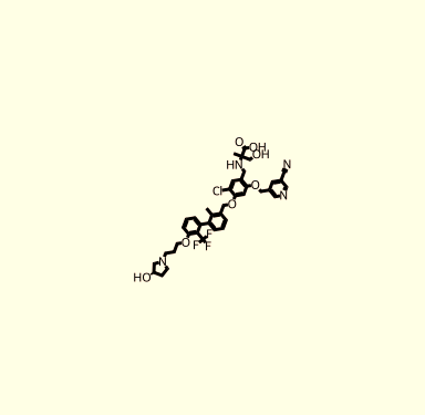 Cc1c(COc2cc(OCc3cncc(C#N)c3)c(CNC(C)(CO)C(=O)O)cc2Cl)cccc1-c1cccc(OCCCN2CC[C@@H](O)C2)c1C(F)(F)F